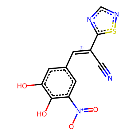 N#C/C(=C\c1cc(O)c(O)c([N+](=O)[O-])c1)c1ncns1